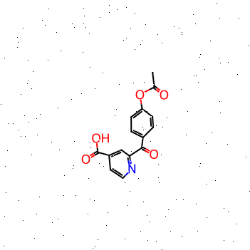 CC(=O)Oc1ccc(C(=O)c2cc(C(=O)O)ccn2)cc1